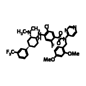 COc1ccc(CN(c2ccncn2)S(=O)(=O)c2cc(Cl)c(N[C@H]3CC[C@H](c4cccc(C(F)(F)F)c4)C[C@@H]3N(C)C)cc2F)c(OC)c1